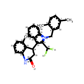 Cc1ccc(C)c(Cn2c(C(F)F)c(C3CC(=O)Nc4cccc(C)c43)c3ccccc32)c1